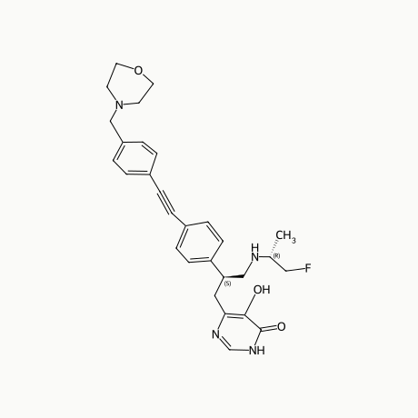 C[C@H](CF)NC[C@@H](Cc1nc[nH]c(=O)c1O)c1ccc(C#Cc2ccc(CN3CCOCC3)cc2)cc1